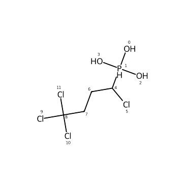 O[PH](O)(O)C(Cl)CCC(Cl)(Cl)Cl